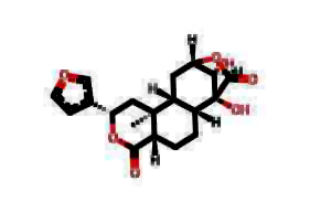 C[C@@]12C[C@@H](c3ccoc3)OC(=O)[C@H]1CC[C@@H]1[C@H]2C[C@@H]2OC(=O)[C@@]1(O)[C@@H]2O